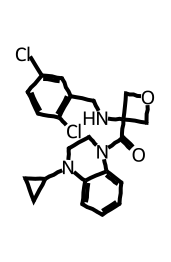 O=C(N1CCN(C2CC2)c2ccccc21)C1(NCc2cc(Cl)ccc2Cl)COC1